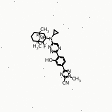 Cn1nc(-c2ccc(-c3ncc(N(C4CC4)[C@@H]4C[C@@]5(C)CCC[C@](C)(N5)[C@@H]4F)nn3)c(O)c2)nc1C#N